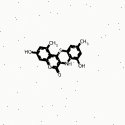 Cc1cc(O)c2c(c1)Sc1c(c(=O)oc3cc(O)cc(C)c13)N2